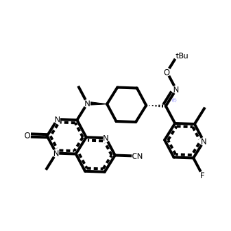 Cc1nc(F)ccc1/C(=N/OC(C)(C)C)[C@H]1CC[C@H](N(C)c2nc(=O)n(C)c3ccc(C#N)nc23)CC1